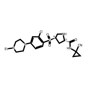 CCN1CCN(c2ccc(S(=O)(=O)[C@H]3CN[C@H](C(=O)NC4(C#N)CC4)C3)c(Cl)c2)CC1